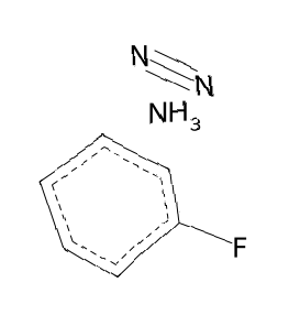 Fc1ccccc1.N.N#N